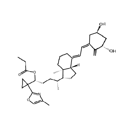 C=C1/C(=C\C=C2/CCC[C@]3(C)[C@@H]([C@H](C)CC[C@@H](OC(=O)CC)C4(c5nc(C)co5)CC4)CC[C@@H]23)C[C@@H](O)C[C@@H]1O